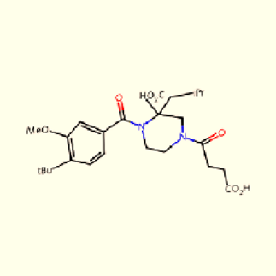 COc1cc(C(=O)N2CCN(C(=O)CCC(=O)O)CC2(CC(C)C)C(=O)O)ccc1C(C)(C)C